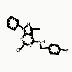 Cc1nn(-c2ccccc2)c2nc(Cl)nc(NCc3ccc(F)cc3)c12